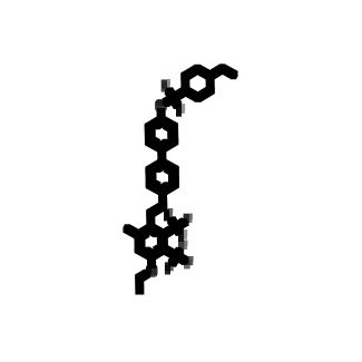 CCOc1cc(C)c(CCc2ccc(-c3ccc(OC(F)(F)C4CCC(CC)CC4)cc3)cc2)c(C(F)(F)F)c1C(F)(F)F